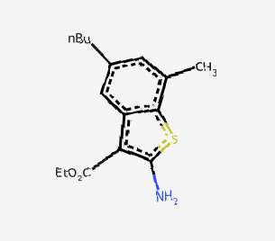 CCCCc1cc(C)c2sc(N)c(C(=O)OCC)c2c1